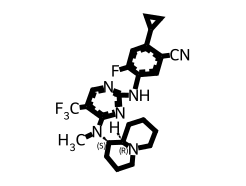 CN(c1nc(Nc2cc(C#N)c(C3CC3)cc2F)ncc1C(F)(F)F)[C@H]1CCCN2CCCC[C@H]12